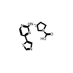 O=C(O)N1CC[C@@H](Nc2nccc(-c3cncs3)n2)C1